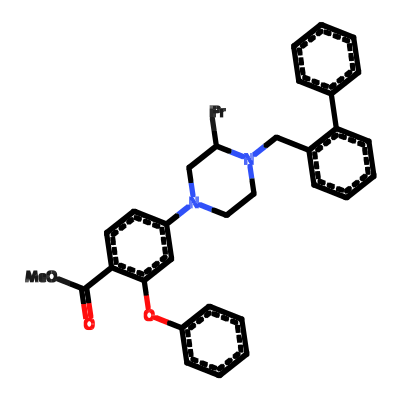 COC(=O)c1ccc(N2CCN(Cc3ccccc3-c3ccccc3)C(C(C)C)C2)cc1Oc1ccccc1